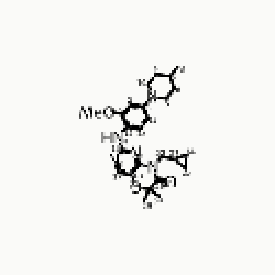 COc1cc(N2CCC(C)CC2)ccc1Nc1ncc2c(n1)N(CC1CC1)C(=O)C(C)(C)O2